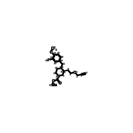 C#CCOCC[C@H]1CN(C(=O)OC(C)(C)C)CCN1Cc1ccc(OC(F)(F)F)c(F)c1